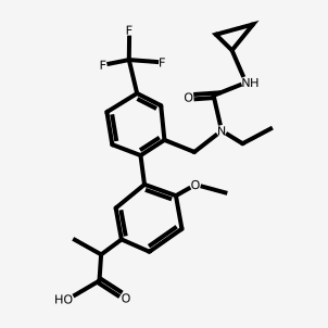 CCN(Cc1cc(C(F)(F)F)ccc1-c1cc(C(C)C(=O)O)ccc1OC)C(=O)NC1CC1